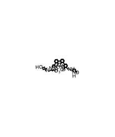 COc1nc(-c2cccc(-c3cccc(-c4cc5nc(CN6CC7(CC(O)C7)C6)cc(=O)n5n4C)c3Cl)c2Cl)ccc1CNC[C@@H]1CCC(=O)N1